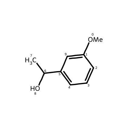 COc1cccc([C](C)O)c1